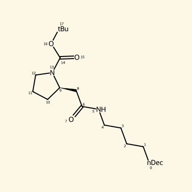 CCCCCCCCCCCCCCNC(=O)C[C@H]1CCCN1C(=O)OC(C)(C)C